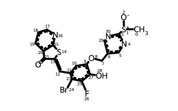 C[S+]([O-])c1ncc(COc2cc(/C=C3\Sc4ncccc4C3=O)c(Br)c(F)c2O)cn1